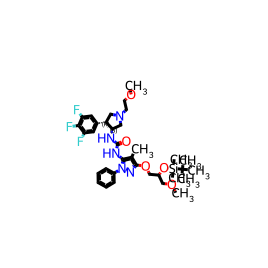 COCCN1C[C@@H](NC(=O)Nc2c(C)c(OCC(COC)O[Si](C)(C)C(C)(C)C)nn2-c2ccccc2)[C@H](c2cc(F)c(F)c(F)c2)C1